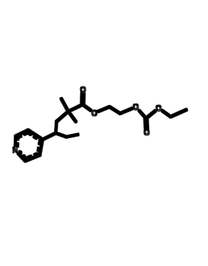 CCOC(=O)OCCOC(=O)C(C)(C)CC(CC)c1ccncc1